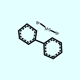 [Br][Mg][Br].[c]1cccc(-c2ccccc2)c1